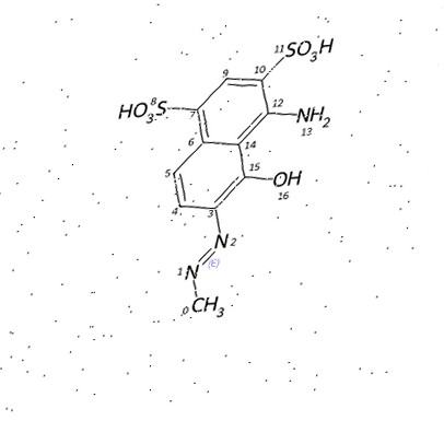 C/N=N/c1ccc2c(S(=O)(=O)O)cc(S(=O)(=O)O)c(N)c2c1O